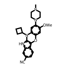 COc1cc2c(cc1N1CCN(C)CC1)N(C1CCC1)c1[nH]c3cc(C#N)ccc3c1O2